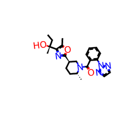 CC[C@@](C)(O)c1nc([C@@H]2CC[C@@H](C)N(C(=O)c3ccccc3-n3nccn3)C2)oc1C